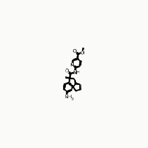 COC(=O)c1ccc(NC(=O)C(C)(CC2CCCC2)c2ccc(N)cc2)nc1